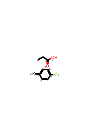 CCC(=O)O.Fc1cc[c]([K])cc1